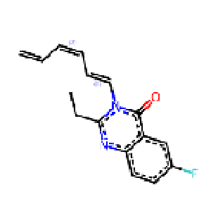 C=C/C=C\C=C\n1c(CC)nc2ccc(F)cc2c1=O